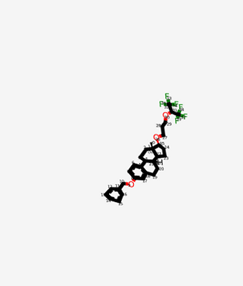 C[C@]12CCC3c4ccc(OCc5ccccc5)cc4CC[C@H]3C1CC[C@@H]2OCCCOC(C(F)(F)F)C(F)(F)F